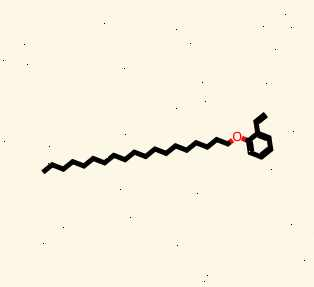 C=Cc1ccccc1OCCCCCCCCCCCCCCCCCCC